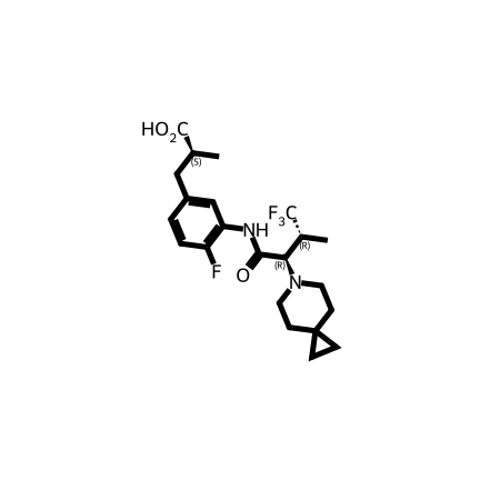 C[C@H]([C@H](C(=O)Nc1cc(C[C@H](C)C(=O)O)ccc1F)N1CCC2(CC1)CC2)C(F)(F)F